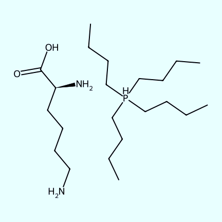 CCCC[PH](CCCC)(CCCC)CCCC.NCCCC[C@H](N)C(=O)O